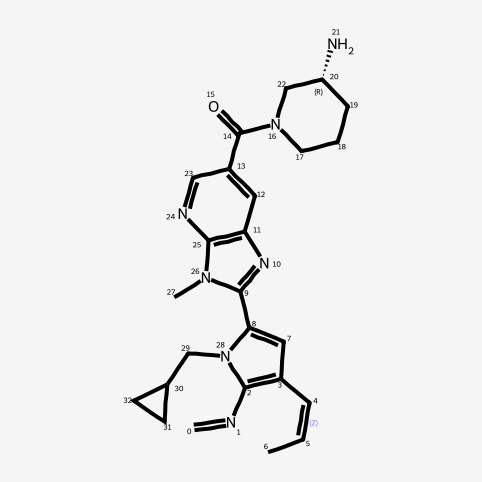 C=Nc1c(/C=C\C)cc(-c2nc3cc(C(=O)N4CCC[C@@H](N)C4)cnc3n2C)n1CC1CC1